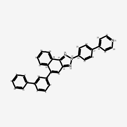 c1ccc(-c2cccc(-c3cc4nn(-c5ccc(-c6ccncc6)cc5)nc4c4ccccc34)c2)cc1